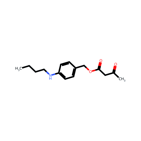 CCCCNc1ccc(COC(=O)CC(C)=O)cc1